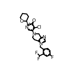 O=c1c(Cl)c(N2CCc3c(ncn3Cc3ccc(F)cc3C(F)F)C2)cnn1C1CCCCO1